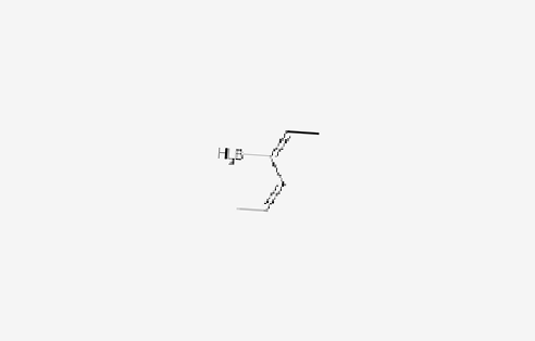 BC(/C=C\C)=C/C